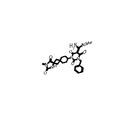 CN/C(N)=C1\C(=O)N(Cc2ccccc2)C(=O)N(C2CCC3(CC2)CC2(C3)NC(=O)N(C)C2=O)C1=O